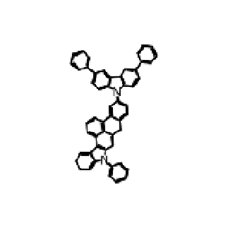 C1=c2c(n(-c3ccccc3)c3cc4c5c(cccc5c23)-c2cc(-n3c5ccc(-c6ccccc6)cc5c5cc(-c6ccccc6)ccc53)ccc2C4)=CCC1